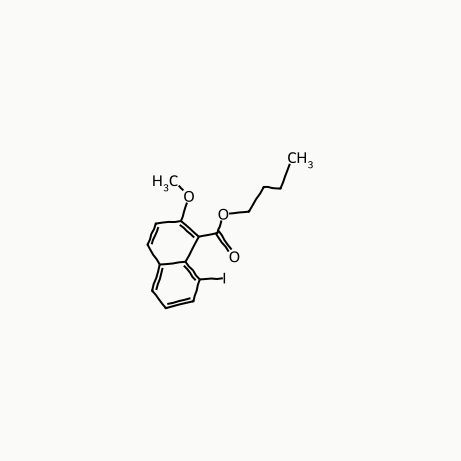 CCCCOC(=O)c1c(OC)ccc2cccc(I)c12